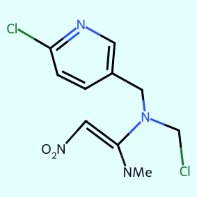 CNC(=C[N+](=O)[O-])N(CCl)Cc1ccc(Cl)nc1